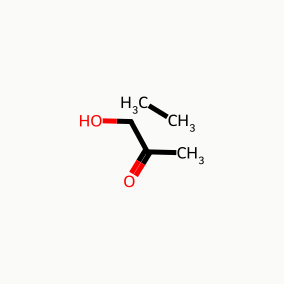 CC.CC(=O)CO